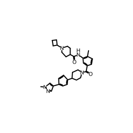 Cc1ccc(C(=O)N2CCC(c3ccc(-c4cnn(C)c4)cc3)CC2)cc1NC(=O)C1CCN(C2CCC2)CC1